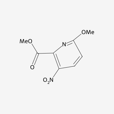 COC(=O)c1nc(OC)ccc1[N+](=O)[O-]